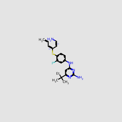 C=C/C=C(\C=C/N)Sc1ccc(Nc2cc(C(C)(C)CC)nc(N)n2)cc1F